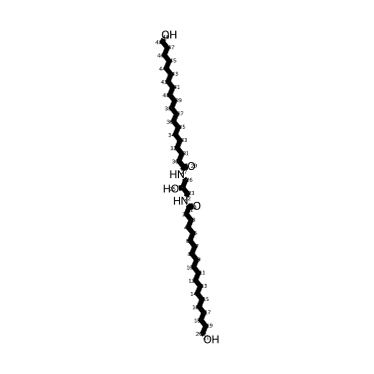 O=C(CCCCCCCCCCCCCCCCCCCO)NCC(O)CNC(=O)CCCCCCCCCCCCCCCCCCCO